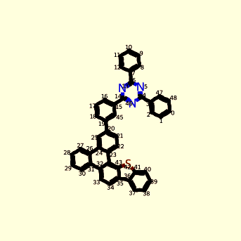 c1ccc(-c2nc(-c3ccccc3)nc(-c3cccc(-c4ccc5c(c4)c4ccccc4c4ccc6c7ccccc7sc6c45)c3)n2)cc1